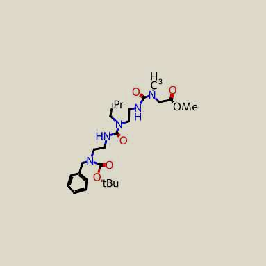 COC(=O)CN(C)C(=O)NCCN(CC(C)C)C(=O)NCCN(Cc1ccccc1)C(=O)OC(C)(C)C